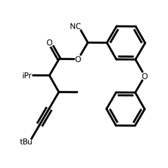 CC(C)C(C(=O)OC(C#N)c1cccc(Oc2ccccc2)c1)C(C)C#CC(C)(C)C